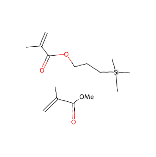 C=C(C)C(=O)OC.C=C(C)C(=O)OCCC[Si](C)(C)C